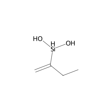 C=C(CC)[SiH](O)O